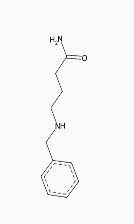 NC(=O)CCCNCc1ccccc1